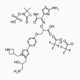 CC1(C)[C@H](NC(=O)/C(=N\OC(COc2ccc(-c3cn(CC(O)CN)[n+](CC4CNC4)c3)cc2)C(=O)O)c2csc(N)n2)C(=O)N1OS(=O)(=O)O.O=C(O)C(F)(F)F.O=C([O-])C(F)(F)F